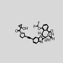 [2H]C([2H])([2H])N1C(=O)c2cccc(OC(F)F)c2[C@H]2C[C@@H]1c1nc3ccc(C#CC4CCN(C(=O)C5(O)CC5)C4)cc3n12